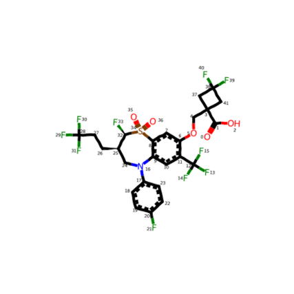 O=C(O)C1(COc2cc3c(cc2C(F)(F)F)N(c2ccc(F)cc2)C[C@@H](CCC(F)(F)F)[C@@H](F)S3(=O)=O)CC(F)(F)C1